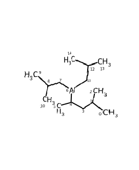 CC(C)C[CH](C)[Al]([CH2]C(C)C)[CH2]C(C)C